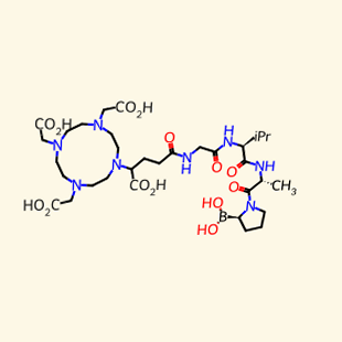 CC(C)[C@H](NC(=O)CNC(=O)CCC(C(=O)O)N1CCN(CC(=O)O)CCN(CC(=O)O)CCN(CC(=O)O)CC1)C(=O)N[C@H](C)C(=O)N1CCC[C@H]1B(O)O